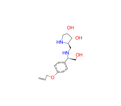 C=CCOc1ccc([C@H](CO)NC[C@H]2NC[C@H](O)[C@@H]2O)cc1